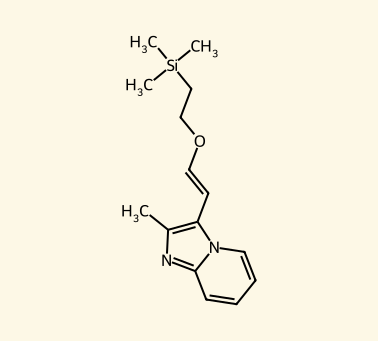 Cc1nc2ccccn2c1/C=C/OCC[Si](C)(C)C